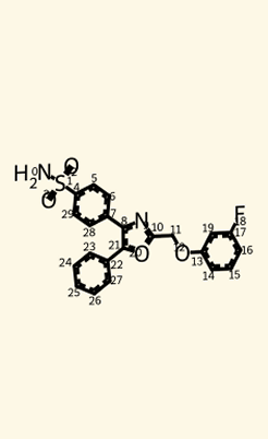 NS(=O)(=O)c1ccc(-c2nc(COc3cccc(F)c3)oc2-c2ccccc2)cc1